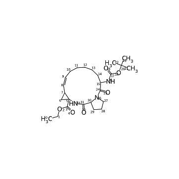 CCOC(=O)C12CC1C=CCCCCCC(NC(=O)OC(C)(C)C)C(=O)N1CCCC1C(=O)N2